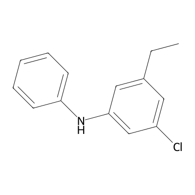 CCc1cc(Cl)cc(Nc2ccccc2)c1